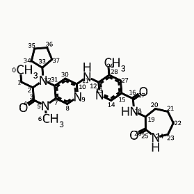 CCC1C(=O)N(C)c2cnc(Nc3ncc(C(=O)NC4CCCCNC4=O)cc3C)cc2N1C1CCCC1